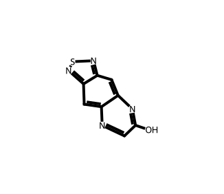 Oc1cnc2cc3nsnc3cc2n1